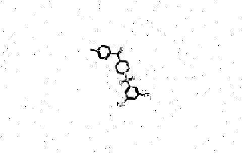 Cc1ccc(C(=O)C2CCN(S(=O)(=O)c3cc(C(F)(F)F)cc(C(F)(F)F)c3)CC2)cc1